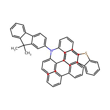 CC1(C)c2ccccc2-c2ccc(N(c3ccccc3-c3cccc4cccc(-c5ccccc5)c34)c3cccc4c3ccc3c5ccccc5sc43)cc21